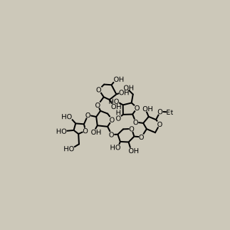 CCOC1OCC(OC2OCC(OC3OCC(OC4OCC(O)C(O)C4O)C(OC4OC(CO)C(O)C4O)C3O)C(O)C2O)C(OC2OC(CO)C(O)C2O)C1O